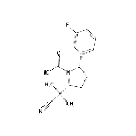 CC(C)(C#N)[C@H]1CC[C@@H](c2cccc(F)c2)N1C(=O)O